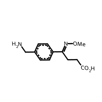 CON=C(CCC(=O)O)c1ccc(CN)cc1